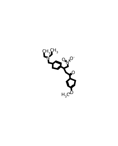 CCN(CC)CC1C=CC(C(CC(=O)C2C=CC(OC)=CC2)C[N+](=O)[O-])=CC1